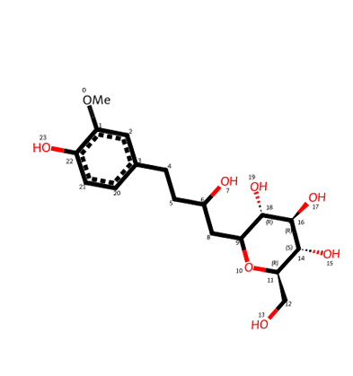 COc1cc(CCC(O)CC2O[C@H](CO)[C@@H](O)[C@H](O)[C@H]2O)ccc1O